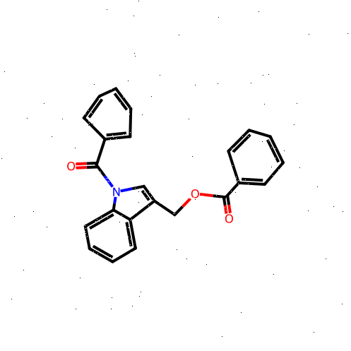 O=C(OCc1cn(C(=O)c2ccccc2)c2ccccc12)c1ccccc1